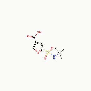 CC(C)(C)NS(=O)(=O)c1cc(C(=O)O)co1